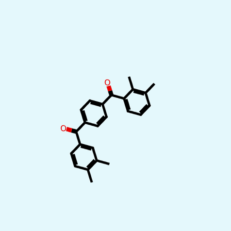 Cc1ccc(C(=O)c2ccc(C(=O)c3cccc(C)c3C)cc2)cc1C